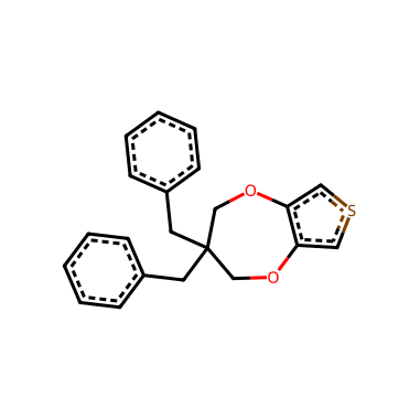 c1ccc(CC2(Cc3ccccc3)COc3cscc3OC2)cc1